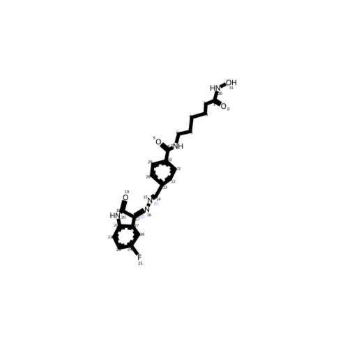 O=C(CCCCCNC(=O)c1ccc(/C=N/N=C2\C(=O)Nc3ccc(F)cc32)cc1)NO